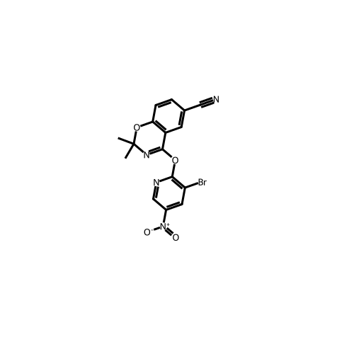 CC1(C)N=C(Oc2ncc([N+](=O)[O-])cc2Br)c2cc(C#N)ccc2O1